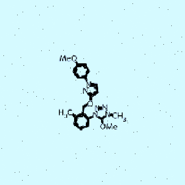 COc1ccc(-n2ccc(OCc3c(C)cccc3N3N=NN(C)C3OC)n2)cc1